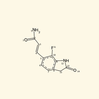 NC(=O)C=Cc1ccc2c(c1F)NC(=O)C2